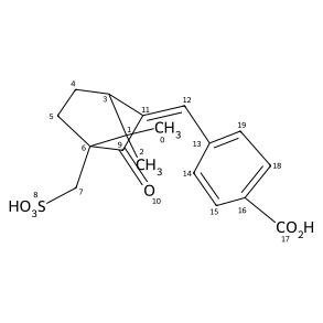 CC1(C)C2CCC1(CS(=O)(=O)O)C(=O)/C2=C\c1ccc(C(=O)O)cc1